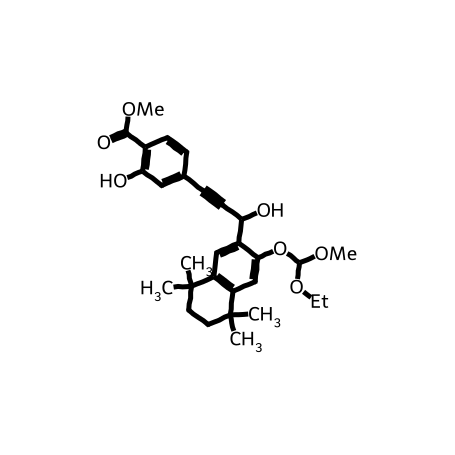 CCOC(OC)Oc1cc2c(cc1C(O)C#Cc1ccc(C(=O)OC)c(O)c1)C(C)(C)CCC2(C)C